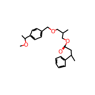 COC(C)c1ccc(COCC(C)COC(=O)CC(C)c2ccccc2)cc1